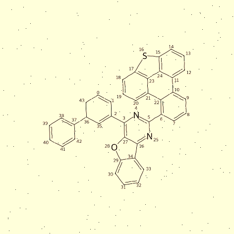 C1=CC(c2nc(-c3cccc4c5cccc6sc7cccc(c34)c7c65)nc3c2oc2ccccc23)=CC(c2ccccc2)C1